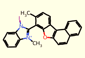 Cc1ccc2c(oc3ccc4ccccc4c32)c1-c1n(I)c2ccccc2[n+]1C